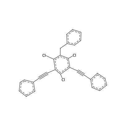 Clc1c(C#Cc2ccccc2)c(Cl)c(Cc2ccccc2)c(Cl)c1C#Cc1ccccc1